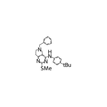 CSc1nc2c(c(Nc3ccc(C(C)(C)C)cc3)n1)CN(Cc1ccccc1)CC2